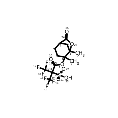 CC12CC(CCC1(C)OC(=O)C(C(F)(F)F)(C(F)(F)F)S(=O)(=O)O)C(=O)O2